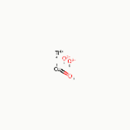 [O-2].[O-2].[O]=[Cu].[Ti+4]